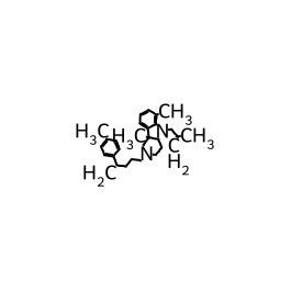 C=C(C)CN1c2c(C)cccc2C2(C)CN(CCCC(=C)c3ccc(C)cc3)CCC12